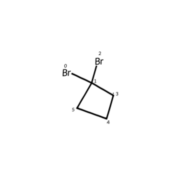 BrC1(Br)[CH]CC1